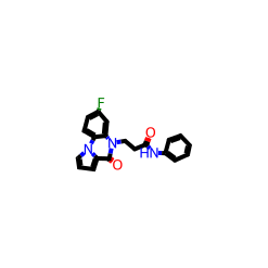 O=C(CCn1c(=O)c2cccn2c2ccc(F)cc21)Nc1ccccc1